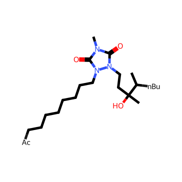 CCCCC(C)C(C)(O)CCn1c(=O)n(C)c(=O)n1CCCCCCCCC(C)=O